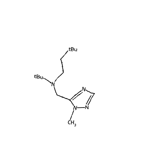 Cn1ncnc1CN(CCC(C)(C)C)C(C)(C)C